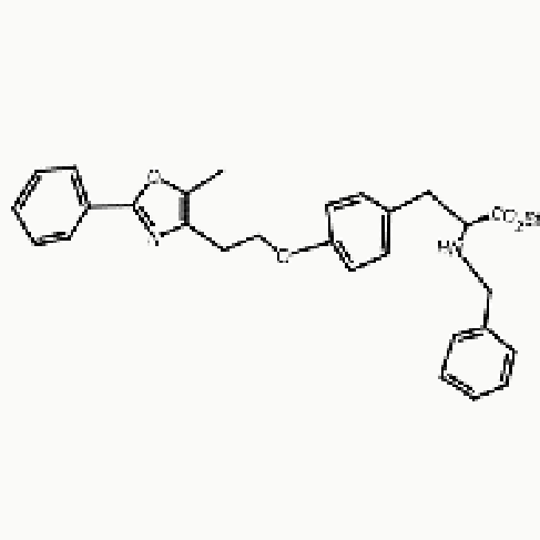 CCOC(=O)[C@H](Cc1ccc(OCCc2nc(-c3ccccc3)oc2C)cc1)NCc1ccccc1